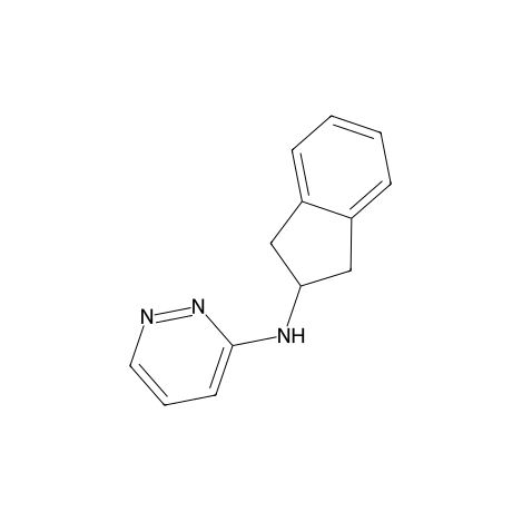 c1cnnc(NC2Cc3ccccc3C2)c1